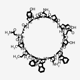 CCCC[C@H]1C(=O)N[C@@H](CC(C)C)C(=O)N[C@H](C(=O)NCC(N)=O)CSCC(=O)N[C@@H](Cc2ccc(O)cc2)C(=O)N(C)[C@@H](C)C(=O)N[C@@H](CC(N)=O)C(=O)N2CCC[C@H]2C(=O)N[C@@H](Cc2cnc[nH]2)C(=O)N[C@@H](CCC(=O)O)C(=O)N2C[C@H](O)C[C@H]2C(=O)N[C@@H](Cc2c[nH]c3ccccc23)C(=O)N[C@@H](CCN)C(=O)N[C@@H](Cc2c[nH]c3ccccc23)C(=O)N(Cc2ccccc2)[C@@H](C)C(=O)N1C